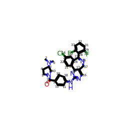 CN(C)C1CCN(C(=O)c2ccc(Nc3ncc4c(n3)-c3ccc(Cl)cc3C(c3c(F)cccc3F)=NC4)cc2)C1